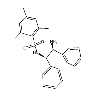 Cc1cc(C)c(S(=O)(=O)N[C@H](c2ccccc2)[C@@H](N)c2ccccc2)c(C)c1